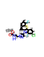 Cc1cccc(Sc2c(C3CC3)n(-c3cnn(CCNC(=O)OC(C)(C)C)c3)c3c(F)c(Cl)ccc23)c1F